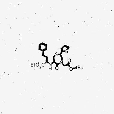 CCOC(=O)[C@@H](CCc1ccccc1)NC1CSC(c2cccs2)CN(CC(=O)OC(C)(C)C)C1=O